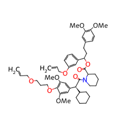 C=CCOCCCOc1c(OC)cc([C@@H](C(=O)N2CCCCC2C(=O)OC(CCc2ccc(OC)c(OC)c2)c2cccc(OCC=C)c2)C2CCCCC2)cc1OC